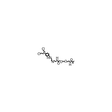 C=C(C)C(=O)NCCOCCOCC(=O)NCCN(C)CCNCc1ccc(N(CCCl)CCCl)cc1